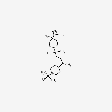 CC(CCC(C)(C)N1CCC(C)(C(C)C)CC1)C1CCN(C(C)(C)C)CC1